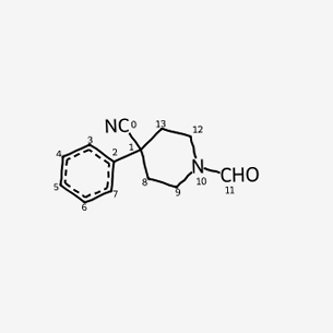 N#CC1(c2ccccc2)CCN(C=O)CC1